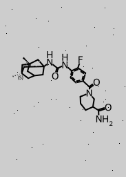 C[C@]12CC3CC(NC(=O)Nc4ccc(C(=O)N5CCCC(C(N)=O)C5)cc4F)(C1)C[C@@](C)(C3)C2